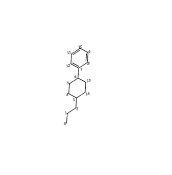 CCCC1CCC(c2[c]cccc2)CC1